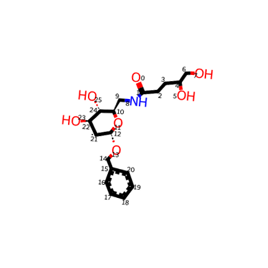 O=C(CCC(O)CO)NC[C@H]1O[C@H](OCc2ccccc2)[CH][C@@H](O)[C@@H]1O